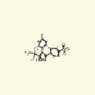 Cc1ccc(-c2c(-c3ccc(S(C)(=O)=O)cc3)n[nH]c2C(F)(F)C(F)(F)F)cc1